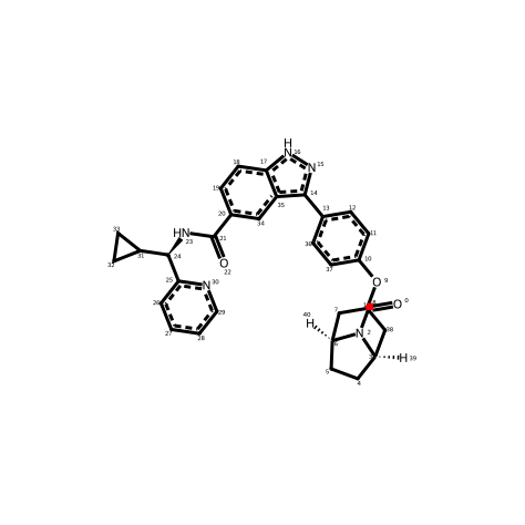 O=CN1[C@@H]2CC[C@H]1CC(Oc1ccc(-c3n[nH]c4ccc(C(=O)N[C@@H](c5ccccn5)C5CC5)cc34)cc1)C2